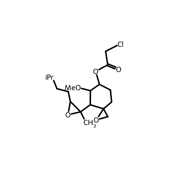 COC1C(OC(=O)CCl)CCC2(CO2)C1C1(C)OC1CCC(C)C